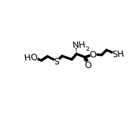 N[C@@H](CCSCCO)C(=O)OCCS